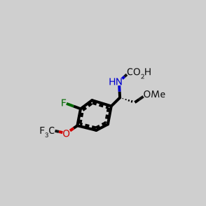 COC[C@@H](NC(=O)O)c1ccc(OC(F)(F)F)c(F)c1